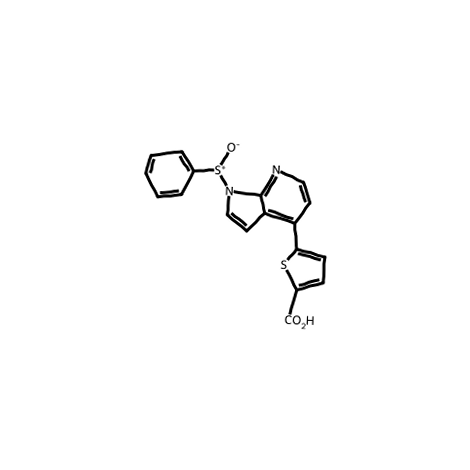 O=C(O)c1ccc(-c2ccnc3c2ccn3[S+]([O-])c2ccccc2)s1